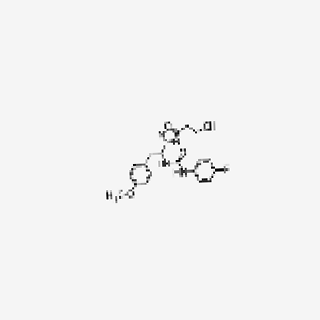 COc1ccc(CC(NC(=O)Nc2ccc(F)cc2)c2noc(CCO)n2)cc1